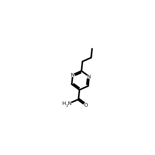 CCCc1ncc(C(N)=O)cn1